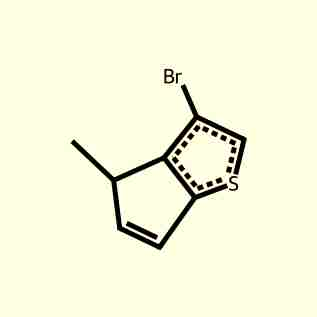 CC1C=Cc2scc(Br)c21